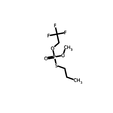 CCCSP(=O)(OC)OCC(F)(F)F